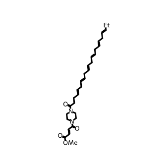 CCC=CCC=CCC=CCC=CCC=CCC=CCCC(=O)N1CCN(C(=O)C=CC(=O)OC)CC1